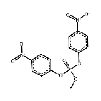 COP(=O)(Oc1ccc([N+](=O)[O-])cc1)Oc1ccc([N+](=O)[O-])cc1